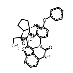 CCC(=O)[C@H]1CCC[C@@]1(N)NC(=O)c1sc2nccc3c2c1N(c1ccc(Oc2ccccc2)nc1C)C(=O)N3